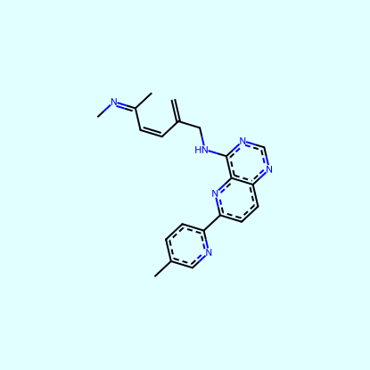 C=C(/C=C\C(C)=N/C)CNc1ncnc2ccc(-c3ccc(C)cn3)nc12